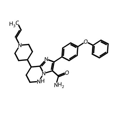 CC=CN1CCC(C2CCNn3c2nc(-c2ccc(Oc4ccccc4)cc2)c3C(N)=O)CC1